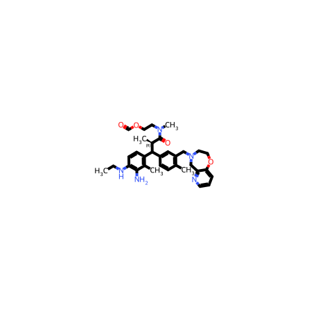 CCNc1ccc(C(c2ccc(C)c(CN3CCOc4cccnc4C3)c2)[C@@H](C)C(=O)N(C)CCOC=O)c(C)c1N